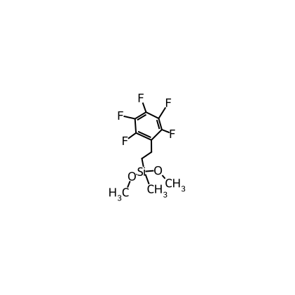 CO[Si](C)(CCc1c(F)c(F)c(F)c(F)c1F)OC